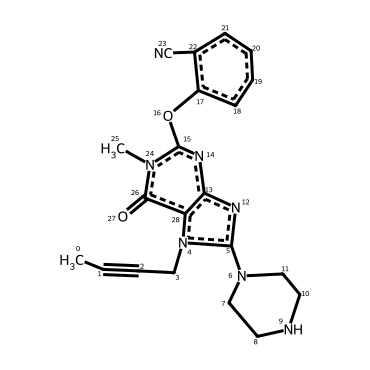 CC#CCn1c(N2CCNCC2)nc2nc(Oc3ccccc3C#N)n(C)c(=O)c21